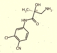 C[C@](O)(CN)C(=O)Nc1ccc(C#N)c(Cl)c1